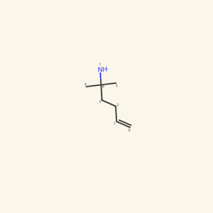 C=CCCC(C)(C)[NH]